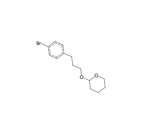 Brc1ccc(CCCOC2CCCCO2)cc1